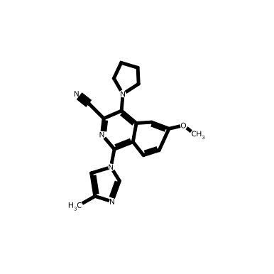 COc1ccc2c(-n3cnc(C)c3)nc(C#N)c(N3CCCC3)c2c1